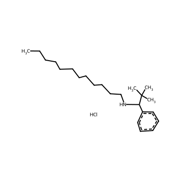 CCCCCCCCCCCCNC(c1ccccc1)C(C)(C)C.Cl